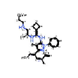 C=C(CCC)/C(C)=C\C(=C/CCC)c1nn(-c2ccccc2)c(NC(N[C@@H](CC)CNCCOC)=C2CCC2)c1C